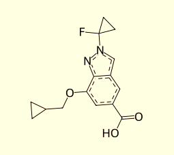 O=C(O)c1cc(OCC2CC2)c2nn(C3(F)CC3)cc2c1